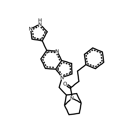 O=C(CCc1ccccc1)N1C2CCC1C(Cn1ccc3nc(-c4cn[nH]c4)ccc31)C2